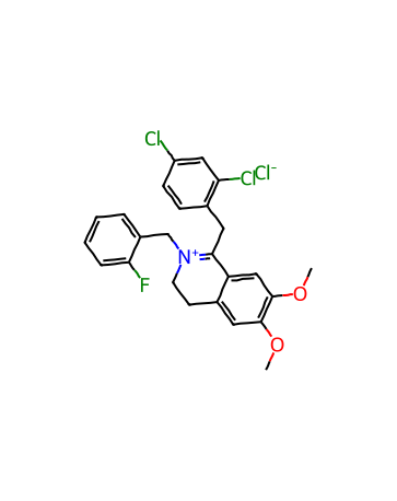 COc1cc2c(cc1OC)C(Cc1ccc(Cl)cc1Cl)=[N+](Cc1ccccc1F)CC2.[Cl-]